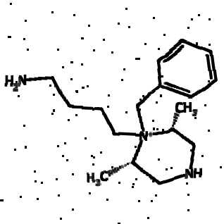 C[C@@H]1CNC[C@H](C)[N+]1(CCCCN)Cc1ccccc1